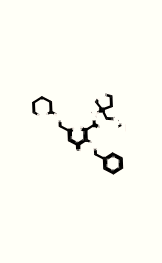 O=C(NC1(CNCl)CCOC1)c1oc(COC2CCCCO2)cc(=O)c1OCc1ccccc1